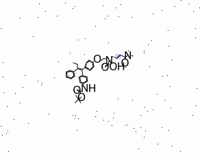 CCC(=C(c1ccc(NC(=O)OC(C)(C)C)cc1)c1ccc(OCCN(C/C=C/C(=O)N(C)C)C(=O)O)cc1)c1ccccc1